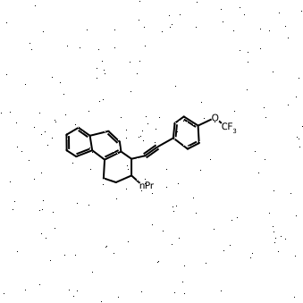 CCCC1CCc2c(ccc3ccccc23)C1C#Cc1ccc(OC(F)(F)F)cc1